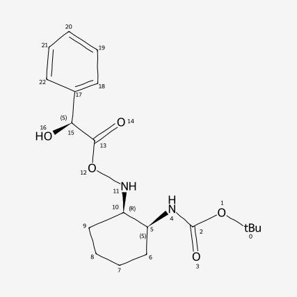 CC(C)(C)OC(=O)N[C@H]1CCCC[C@H]1NOC(=O)[C@@H](O)c1ccccc1